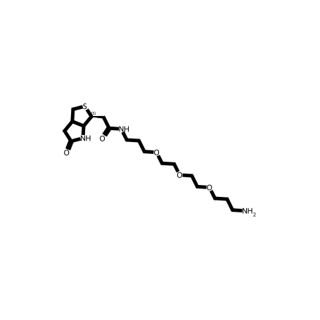 NCCCOCCOCCOCCCNC(=O)C[C@@H]1SCC2CC(=O)NC21